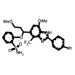 COCCC(Oc1ccccc1S(N)(=O)=O)c1cc(OC)c2[nH]c(-c3ccc(C(C)C)cc3)nc2c1C(F)(F)F